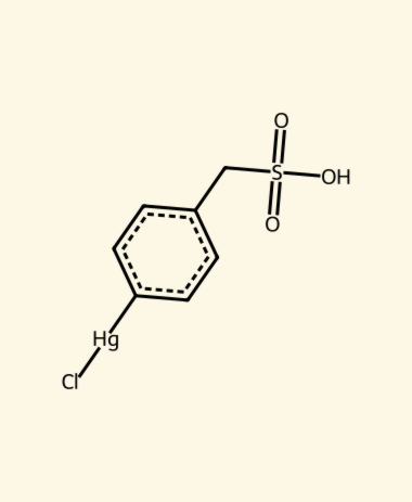 O=S(=O)(O)Cc1cc[c]([Hg][Cl])cc1